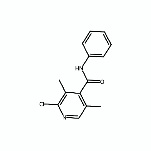 Cc1cnc(Cl)c(C)c1C(=O)Nc1ccccc1